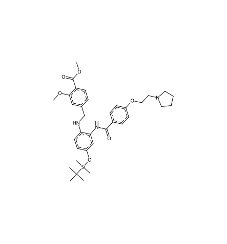 COC(=O)c1ccc(CNc2ccc(O[Si](C)(C)C(C)(C)C)cc2NC(=O)c2ccc(OCCN3CCCC3)cc2)cc1OC